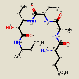 CC(=O)[C@H](CC(=O)O)NC(=O)[C@H](O)[C@H](CC(C)C)NC(=O)[C@H](CC(C)C)NC(=O)[C@@H](NC(=O)[C@@H](N)CCC(=O)O)C(C)C